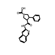 O=C(Nc1cc2ccccc2cn1)C1CN(C(=O)O)CC1c1ccccc1